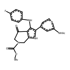 CC(=O)Nc1cc(-c2[nH]c3c(c2Nc2ccc(F)cc2)C(=O)CN(C(=O)OC(C)(C)C)C3)ccn1